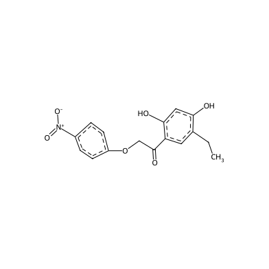 CCc1cc(C(=O)COc2ccc([N+](=O)[O-])cc2)c(O)cc1O